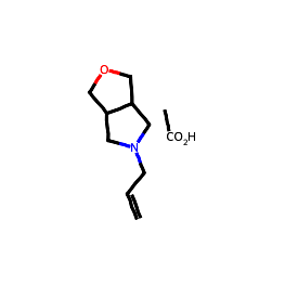 C=CCN1CC2COCC2C1.CC(=O)O